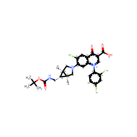 CC(C)(C)OC(=O)NC[C@@H]1[C@H]2CN(c3cc4c(cc3F)c(=O)c(C(=O)O)cn4-c3ccc(F)cc3F)C[C@@H]12